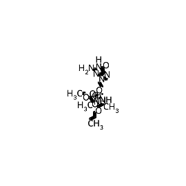 CCCCOC(=O)[C@@H](C)NP(=O)(COCCn1cnc2c(=O)[nH]c(N)nc21)N[C@@H](C)C(=O)OCC